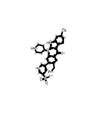 CC(C)Cc1cc2c(=O)c3c4ccc(C#N)cc4[nH]c3n(C3CCNCC3)c2cc1-c1cncc(S(=O)(=O)F)c1